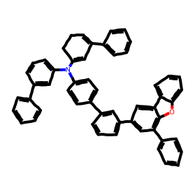 C1=C(c2ccccc2)C=C(N(c2ccc(-c3cccc(-c4cc(-c5ccccc5)c5oc6ccccc6c5c4)c3)cc2)c2cccc(-c3ccccc3)c2)CC1